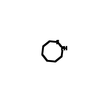 C1CCCSPCC1